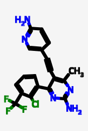 Cc1nc(N)nc(-c2cccc(C(F)(F)F)c2Cl)c1C#Cc1ccc(N)nc1